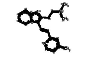 Cc1ccnc(C=Cc2c(CCN(C)C)sc3ccccc23)c1